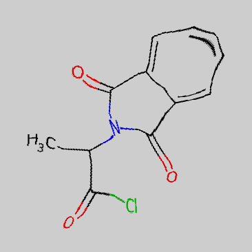 CC(C(=O)Cl)N1C(=O)c2ccccc2C1=O